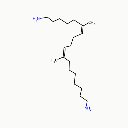 CC(=CCCC=C(C)CCCCCCCN)CCCCCN